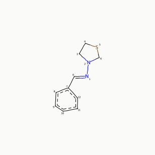 C(=NN1CCSC1)c1ccccc1